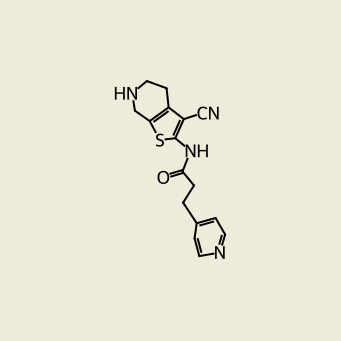 N#Cc1c(NC(=O)CCc2ccncc2)sc2c1CCNC2